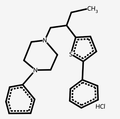 CCC(CN1CCN(c2ccccc2)CC1)c1ccc(-c2ccccc2)s1.Cl